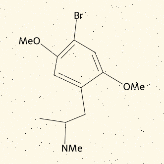 CNC(C)Cc1cc(OC)c(Br)cc1OC